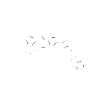 Cc1ccc(S(=O)(=O)NCc2cc(-c3ccc4c(=O)n(-c5ccc(F)cc5)c(CCCCC(=O)O)nc4c3)no2)cc1